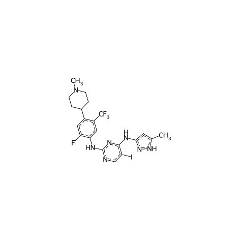 Cc1cc(Nc2nc(Nc3cc(C(F)(F)F)c(C4CCN(C)CC4)cc3F)ncc2I)n[nH]1